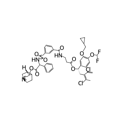 C=C(Cl)/C(C[C@H](OC(=O)CCNC(=O)c1cccc(S(=O)(=O)NC(C(=O)O[C@H]2CN3CCC2CC3)c2ccccc2)c1)c1ccc(OC(F)F)c(OCC2CC2)c1)=C(\C)Cl